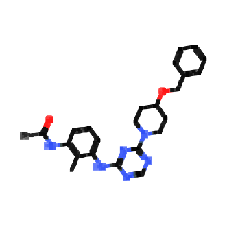 Cc1c(NC(=O)C(C)C)cccc1Nc1ncnc(N2CCC(OCc3ccccc3)CC2)n1